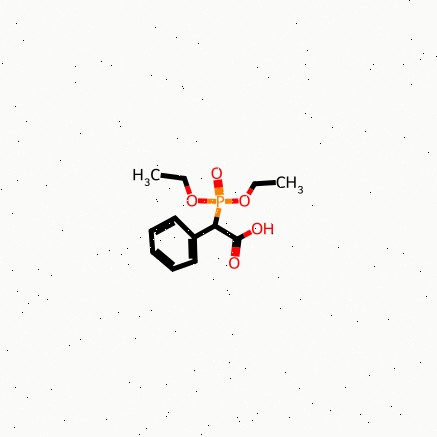 CCOP(=O)(OCC)C(C(=O)O)c1ccccc1